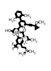 COC1(C#Cc2cc(-c3c(C)cccc3C)cc([C@H](CC(=O)O)NC(=O)[C@H](CC(C)C)n3cc(CCN(C)C)c(C(F)(F)F)cc3=O)n2)CC1